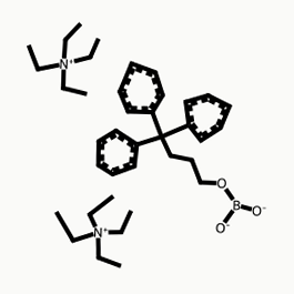 CC[N+](CC)(CC)CC.CC[N+](CC)(CC)CC.[O-]B([O-])OCCCC(c1ccccc1)(c1ccccc1)c1ccccc1